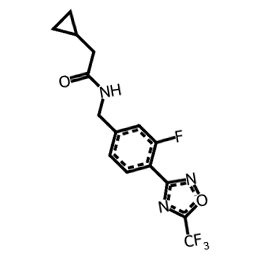 O=C(CC1CC1)NCc1ccc(-c2noc(C(F)(F)F)n2)c(F)c1